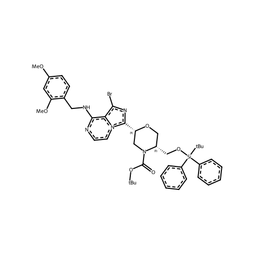 COc1ccc(CNc2nccn3c([C@H]4CN(C(=O)OC(C)(C)C)[C@@H](CO[Si](c5ccccc5)(c5ccccc5)C(C)(C)C)CO4)nc(Br)c23)c(OC)c1